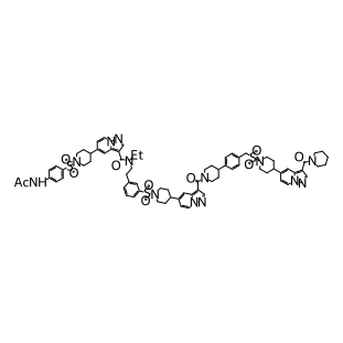 CCN(CCc1cccc(S(=O)(=O)N2CCC(c3ccn4ncc(C(=O)N5CCC(c6ccc(CS(=O)(=O)N7CCC(c8ccn9ncc(C(=O)N%10CCCCC%10)c9c8)CC7)cc6)CC5)c4c3)CC2)c1)C(=O)c1cnn2ccc(C3CCN(S(=O)(=O)c4ccc(NC(C)=O)cc4)CC3)cc12